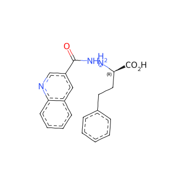 NC(=O)c1cnc2ccccc2c1.N[C@H](CCc1ccccc1)C(=O)O